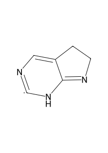 [C]1=NC=C2CCN=C2N1